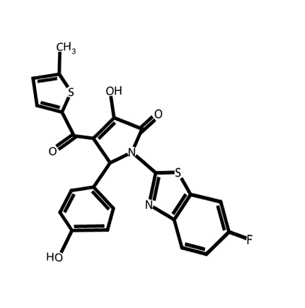 Cc1ccc(C(=O)C2=C(O)C(=O)N(c3nc4ccc(F)cc4s3)C2c2ccc(O)cc2)s1